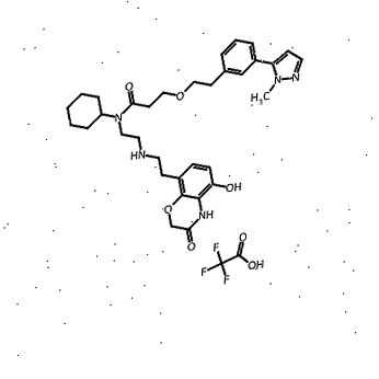 Cn1nccc1-c1cccc(CCOCCC(=O)N(CCNCCc2ccc(O)c3c2OCC(=O)N3)C2CCCCC2)c1.O=C(O)C(F)(F)F